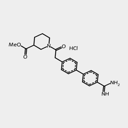 COC(=O)C1CCCN(C(=O)Cc2ccc(-c3ccc(C(=N)N)cc3)cc2)C1.Cl